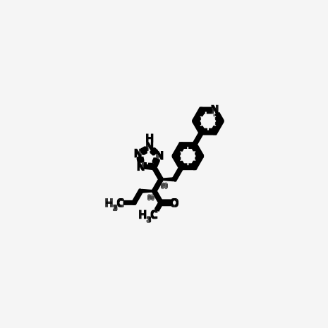 CCC[C@H](C(C)=O)[C@H](Cc1ccc(-c2ccncc2)cc1)c1nn[nH]n1